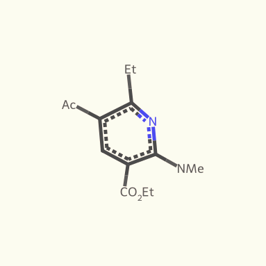 CCOC(=O)c1cc(C(C)=O)c(CC)nc1NC